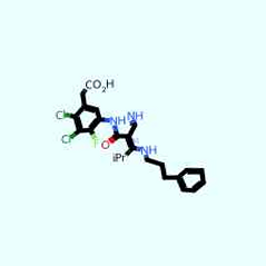 CC(C)/C(NCCCc1ccccc1)=C(/C=N)C(=O)Nc1cc(CC(=O)O)c(Cl)c(Cl)c1F